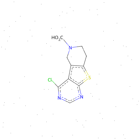 O=C(O)N1CCc2sc3ncnc(Cl)c3c2C1